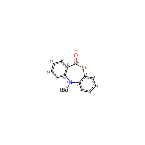 CC(C)(C)N1c2ccccc2SC(=O)c2ccccc21